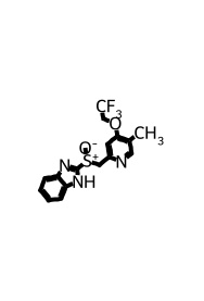 Cc1cnc(C[S+]([O-])c2nc3ccccc3[nH]2)cc1OCC(F)(F)F